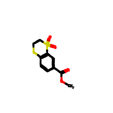 COC(=O)c1ccc2c(c1)S(=O)(=O)CCS2